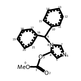 COC(=O)Oc1cncn1C(c1ccccc1)c1ccccc1